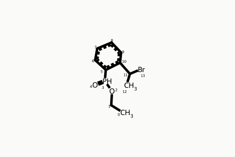 CCO[PH](=O)c1ccccc1C(C)Br